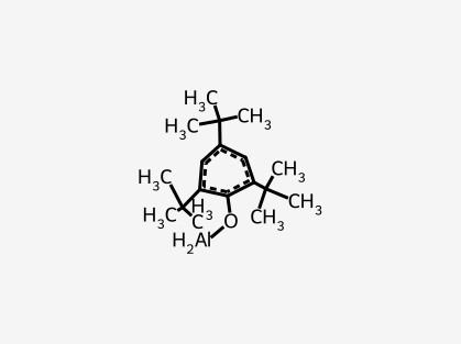 CC(C)(C)c1cc(C(C)(C)C)c([O][AlH2])c(C(C)(C)C)c1